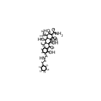 CC1c2ccc(CNCCc3ccccc3)c(O)c2C(=O)C2=C(O)C3(O)C(=O)C(C(N)=O)=C(O)C(N(C)C)C3C(O)C21